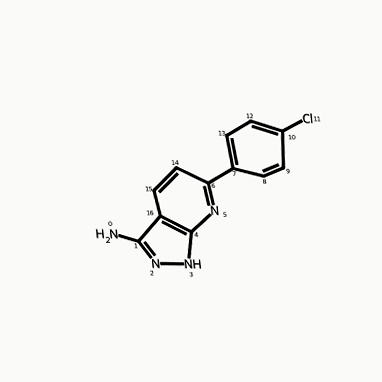 Nc1n[nH]c2nc(-c3ccc(Cl)cc3)ccc12